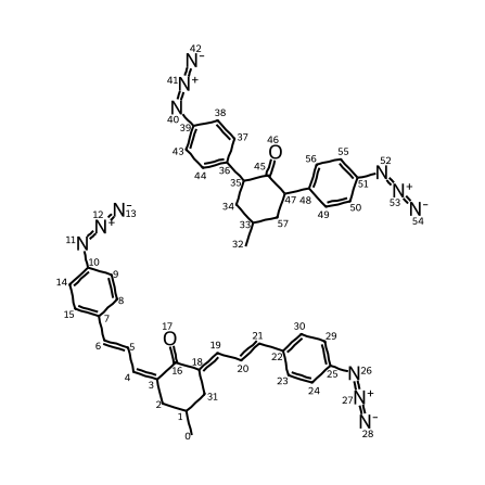 CC1CC(=CC=Cc2ccc(N=[N+]=[N-])cc2)C(=O)C(=CC=Cc2ccc(N=[N+]=[N-])cc2)C1.CC1CC(c2ccc(N=[N+]=[N-])cc2)C(=O)C(c2ccc(N=[N+]=[N-])cc2)C1